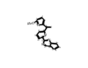 COc1cccc(C(C)c2cccc(-c3ncc4ccccc4n3)n2)n1